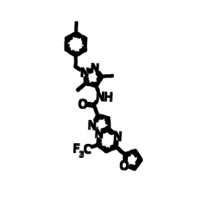 Cc1ccc(Cn2nc(C)c(NC(=O)c3cc4nc(-c5ccco5)cc(C(F)(F)F)n4n3)c2C)cc1